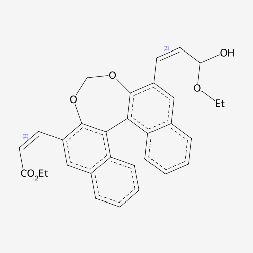 CCOC(=O)/C=C\c1cc2ccccc2c2c1OCOc1c(/C=C\C(O)OCC)cc3ccccc3c1-2